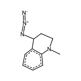 CN1CCC(N=[N+]=[N-])c2ccccc21